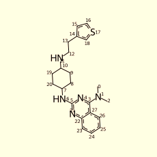 CN(C)c1nc(NC2CCC(NCCc3ccsc3)CC2)nc2ccccc12